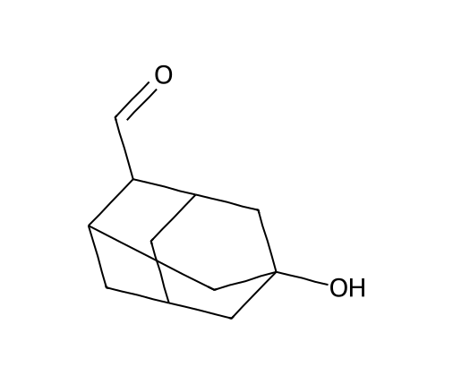 O=CC1C2CC3CC1CC(O)(C3)C2